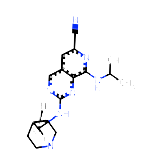 CC(C)Nc1nc(C#N)cc2cnc(N[C@@H]3CN4CCC3CC4)nc12